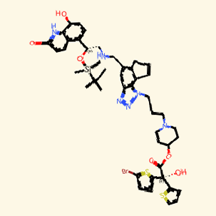 CC(C)(C)[Si](C)(C)O[C@@H](CNCc1cc2nnn(CCCN3CCC(OC(=O)[C@@](O)(c4cccs4)c4ccc(Br)s4)CC3)c2c2c1CCC2)c1ccc(O)c2[nH]c(=O)ccc12